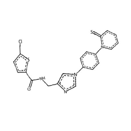 O=C(NCc1cn(-c2ccc(-n3ccccc3=S)cc2)cn1)c1ccc(Cl)s1